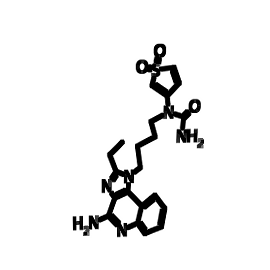 CCc1nc2c(N)nc3ccccc3c2n1CCCCN(C(N)=O)C1=CS(=O)(=O)C=C1